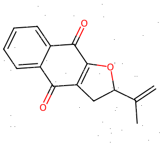 C=C(C)C1CC2=C(O1)C(=O)c1ccccc1C2=O